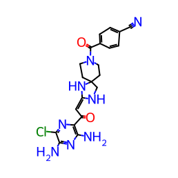 N#Cc1ccc(C(=O)N2CCC3(CC2)CN/C(=C\C(=O)c2nc(Cl)c(N)nc2N)N3)cc1